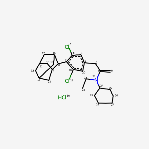 C=C(Cc1cc(Cl)c(C2C3CC4CC(C3)CC2C4)c(Cl)c1)N(CC)C1CCCCC1.Cl